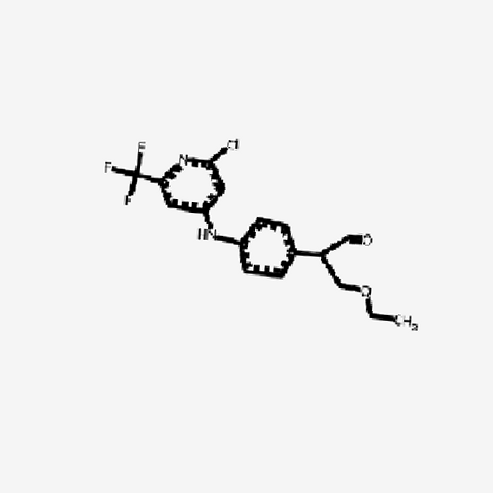 CCOCC(C=O)c1ccc(Nc2cc(Cl)nc(C(F)(F)F)c2)cc1